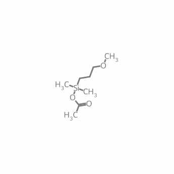 COCCC[Si](C)(C)OC(C)=O